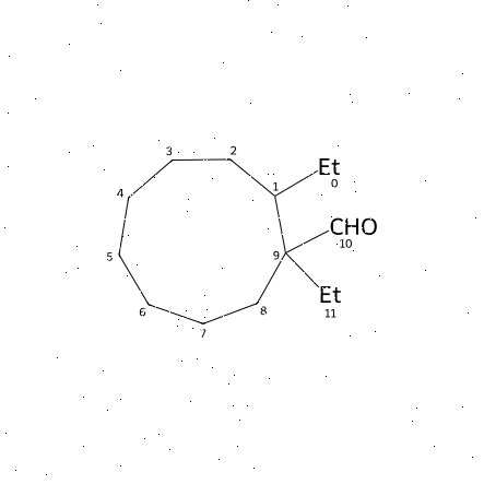 CCC1CCCCCCCC1(C=O)CC